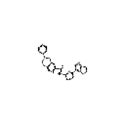 O=C(Nc1cccc(-c2nnc3n2CCC3)n1)c1cc2c(cn1)CCN(c1ccccn1)C2